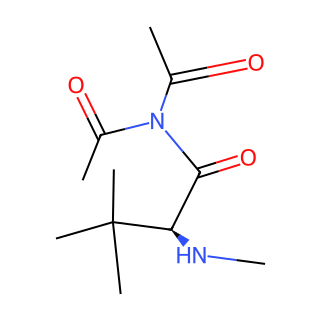 CN[C@H](C(=O)N(C(C)=O)C(C)=O)C(C)(C)C